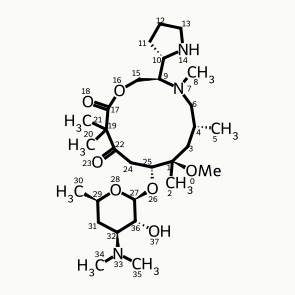 CO[C@]1(C)C[C@@H](C)CN(C)[C@H]([C@@H]2CCCN2)COC(=O)C(C)(C)C(=O)C[C@H]1O[C@@H]1O[C@H](C)C[C@H](N(C)C)[C@H]1O